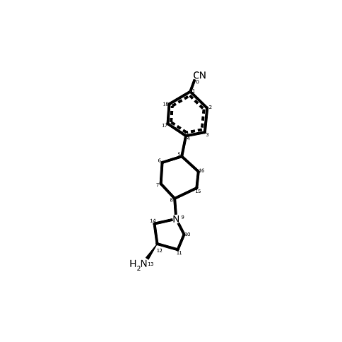 N#Cc1ccc(C2CCC(N3CC[C@@H](N)C3)CC2)cc1